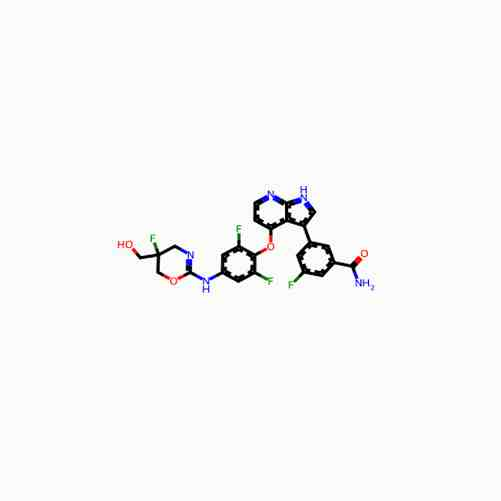 NC(=O)c1cc(F)cc(-c2c[nH]c3nccc(Oc4c(F)cc(NC5=NCC(F)(CO)CO5)cc4F)c23)c1